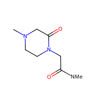 CNC(=O)CN1CCN(C)CC1=O